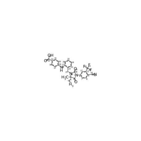 CC1(C)C(=O)N(c2ccc(C#N)c(C(F)(F)F)c2)C(=O)N1Cc1ccccc1Nc1ccc(C(=O)O)cc1